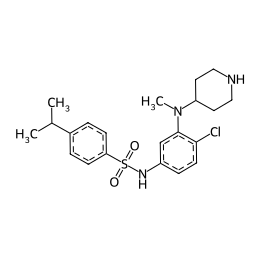 CC(C)c1ccc(S(=O)(=O)Nc2ccc(Cl)c(N(C)C3CCNCC3)c2)cc1